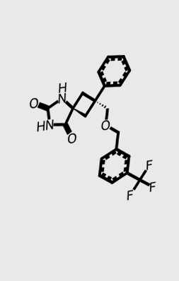 O=C1NC(=O)[C@]2(C[C@](COCc3cccc(C(F)(F)F)c3)(c3ccccc3)C2)N1